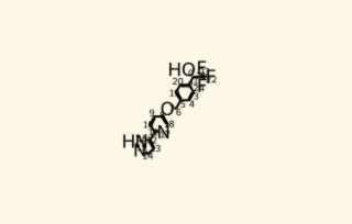 OC(c1ccc(COc2ccc(-c3ccn[nH]3)nc2)cc1)C(F)(F)F